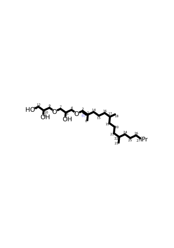 C/C(=C\OCC(O)COCC(O)CO)CCCC(C)CCCC(C)CCCC(C)C